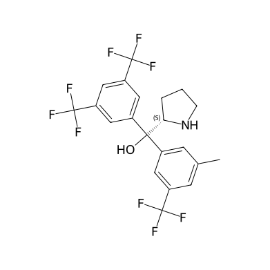 Cc1cc(C(F)(F)F)cc(C(O)(c2cc(C(F)(F)F)cc(C(F)(F)F)c2)[C@@H]2CCCN2)c1